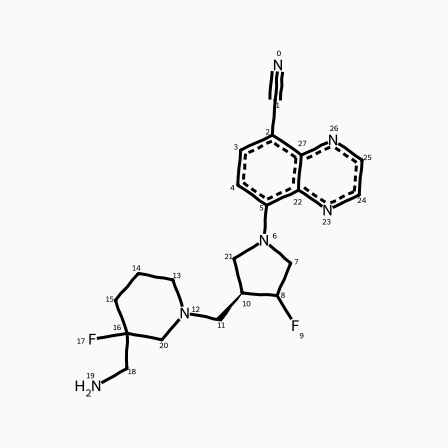 N#Cc1ccc(N2CC(F)[C@@H](CN3CCCC(F)(CN)C3)C2)c2nccnc12